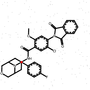 COc1cc(N2C(=O)c3ccccc3C2=O)c(Cl)cc1C(=O)NC1CC2COCC(C1)N2Cc1ccc(F)cc1